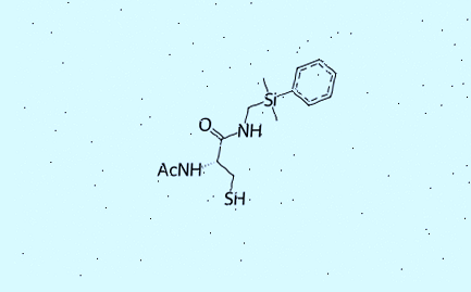 CC(=O)N[C@@H](CS)C(=O)NC[Si](C)(C)c1ccccc1